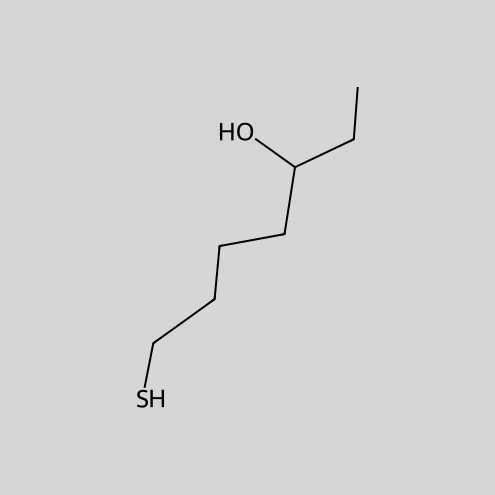 CCC(O)CCCCS